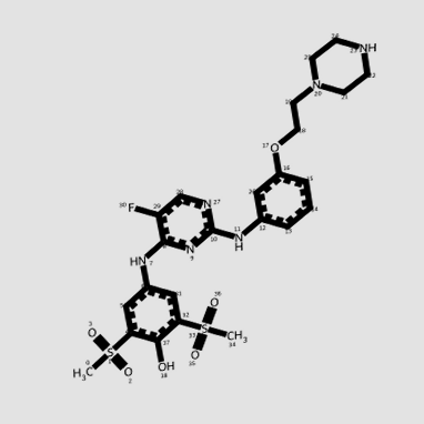 CS(=O)(=O)c1cc(Nc2nc(Nc3cccc(OCCN4CCNCC4)c3)ncc2F)cc(S(C)(=O)=O)c1O